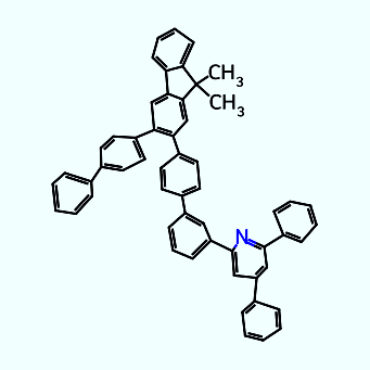 CC1(C)c2ccccc2-c2cc(-c3ccc(-c4ccccc4)cc3)c(-c3ccc(-c4cccc(-c5cc(-c6ccccc6)cc(-c6ccccc6)n5)c4)cc3)cc21